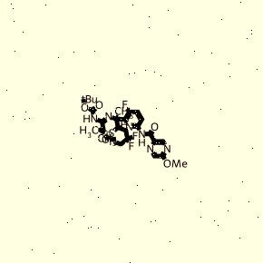 COc1cnc(C(=O)Nc2ccc(F)c([C@@]3(C)N=C(NC(=O)OC(C)(C)C)C(C)(C)[S@@]4(=O)=NCC(F)(F)C[C@H]34)n2)cn1